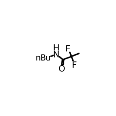 CCCCNC(=O)C(C)(F)F